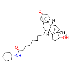 C[C@]12CCC(=O)CC1CC(CCCCCCCC(=O)NC1CCCCC1)[C@@H]1[C@H]2CC[C@]2(C)C(O)CC[C@@H]12